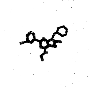 O=[C]Nc1nc(-c2cccc(O)c2)nc2c1[nH]c(=O)n2CC1CCCCC1